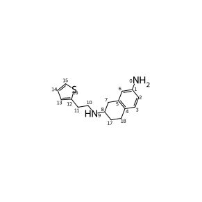 Nc1ccc2c(c1)CC(NCCc1cccs1)CC2